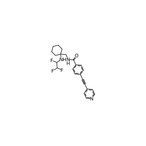 O=C(NCC1(NC(F)C(F)F)CCCCC1)c1ccc(C#Cc2ccncc2)cc1